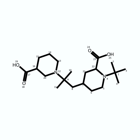 CC(C)(C)N1CCC(CC(C)(C)N2CCCC(C(=O)O)C2)CC1C(=O)O